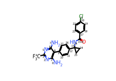 Nc1nc(C(F)(F)F)nc(N)c1-c1ccc(C2(NC(=O)c3ccc(Cl)cc3)CC2)cc1